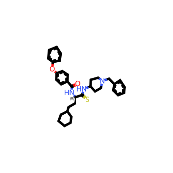 O=C(N[C@H](CCC1CCCCC1)C(=S)NC1CCN(Cc2ccccc2)CC1)c1ccc(Oc2ccccc2)cc1